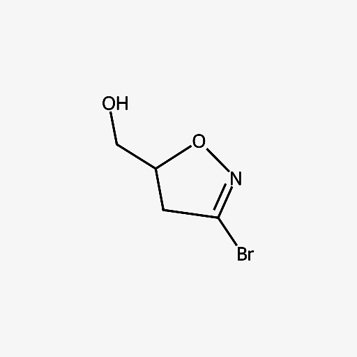 OCC1CC(Br)=NO1